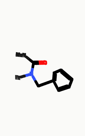 CCN(Cc1ccccc1)C(=O)NC